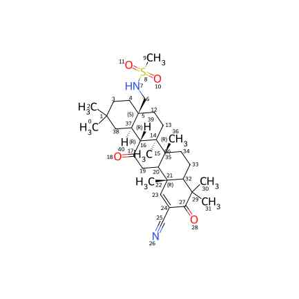 CC1(C)CC[C@]2(CNS(C)(=O)=O)CC[C@]3(C)[C@H](C(=O)CC4[C@@]5(C)C=C(C#N)C(=O)C(C)(C)C5CC[C@]43C)[C@H]2C1